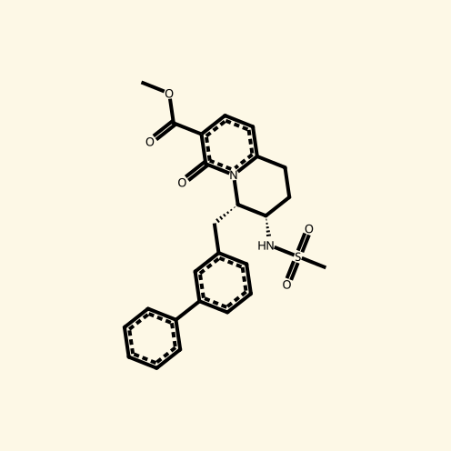 COC(=O)c1ccc2n(c1=O)[C@@H](Cc1cccc(-c3ccccc3)c1)[C@@H](NS(C)(=O)=O)CC2